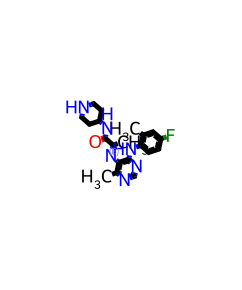 C/C(=N\c1c(C)ncnc1Nc1ccc(F)cc1C)C(=O)NC1CCNCC1